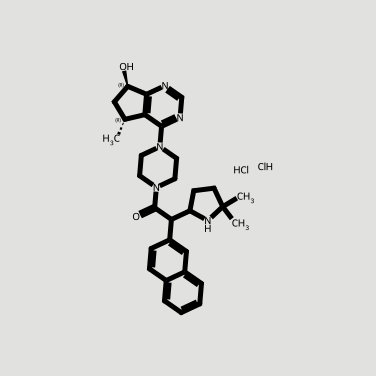 C[C@@H]1C[C@@H](O)c2ncnc(N3CCN(C(=O)C(c4ccc5ccccc5c4)C4CCC(C)(C)N4)CC3)c21.Cl.Cl